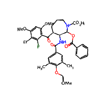 CCc1c(OC)cc(OC)c(C(=O)C2CCCN(C(=O)O)C(OC(=O)c3ccccc3)C2NC(=O)c2cc(C)c(OCOC)c(C)c2)c1F